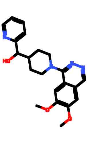 COc1cc2cnnc(N3CCC(C(O)c4ccccn4)CC3)c2cc1OC